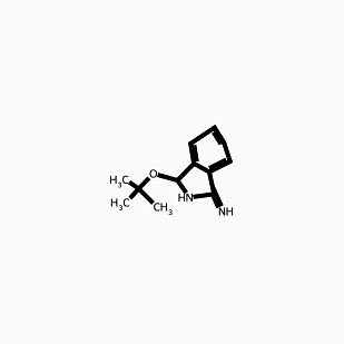 CC(C)(C)OC1NC(=N)c2ccccc21